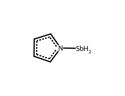 [SbH2][n]1cccc1